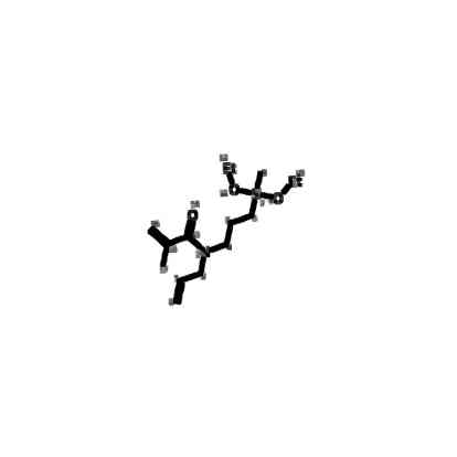 C=CCN(CCC[Si](C)(OCC)OCC)C(=O)C(=C)C